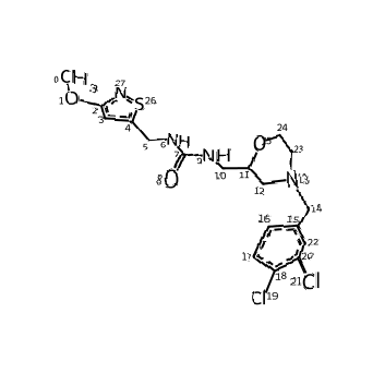 COc1cc(CNC(=O)NCC2CN(Cc3ccc(Cl)c(Cl)c3)CCO2)sn1